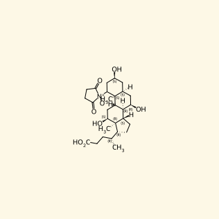 C[C@H](CCC(=O)O)[C@H]1CC[C@H]2[C@@H]3[C@H](O)C[C@@H]4C[C@H](O)CC([N+]5([O-])C(=O)CCC5=O)[C@]4(C)[C@H]3C[C@H](O)[C@]12C